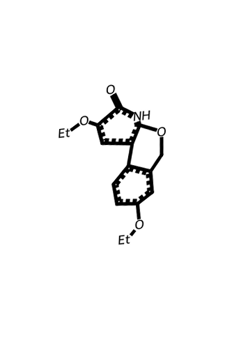 CCOc1ccc2c(c1)COc1[nH]c(=O)c(OCC)cc1-2